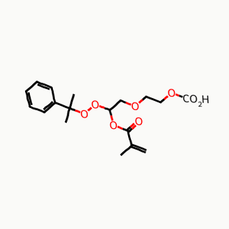 C=C(C)C(=O)OC(COCCOC(=O)O)OOC(C)(C)c1ccccc1